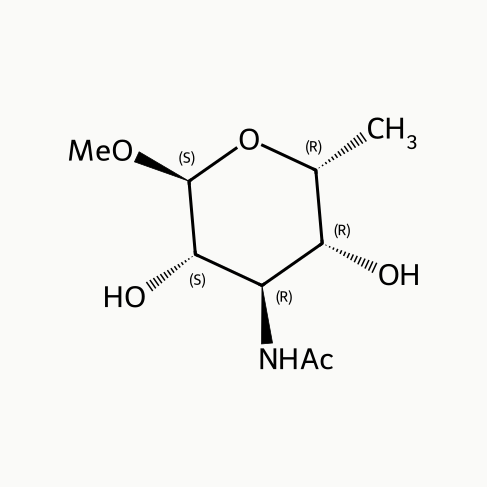 CO[C@H]1O[C@H](C)[C@H](O)[C@@H](NC(C)=O)[C@@H]1O